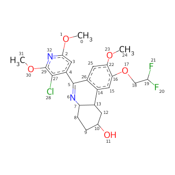 COc1cc(C2=NC3CCC(O)CC3c3cc(OCC(F)F)c(OC)cc32)c(Cl)c(OC)n1